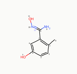 Cc1ccc(O)cc1/C(N)=N/O